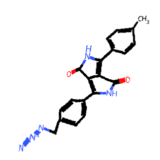 Cc1ccc(C2=C3C(=O)NC(c4ccc(CN=[N+]=[N-])cc4)=C3C(=O)N2)cc1